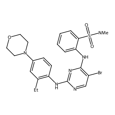 CCc1cc(N2CCOCC2)ccc1Nc1ncc(Br)c(Nc2ccccc2S(=O)(=O)NC)n1